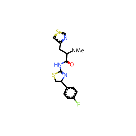 CNC(Cc1cscn1)C(=O)NC1=NC(c2ccc(F)cc2)CS1